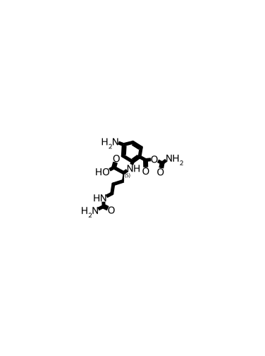 NC(=O)NCCC[C@H](Nc1cc(N)ccc1C(=O)OC(N)=O)C(=O)O